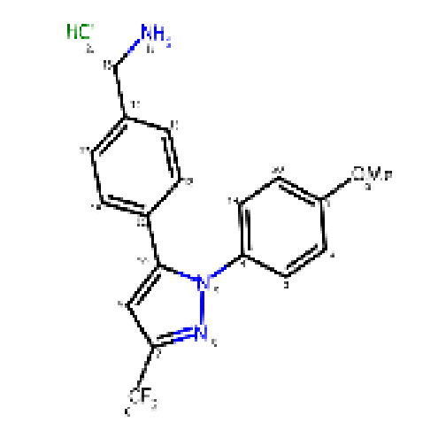 COc1ccc(-n2nc(C(F)(F)F)cc2-c2ccc(CN)cc2)cc1.Cl